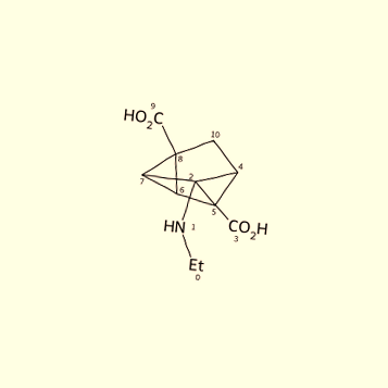 CCNC1(C(=O)O)C2CC3C1C3(C(=O)O)C2